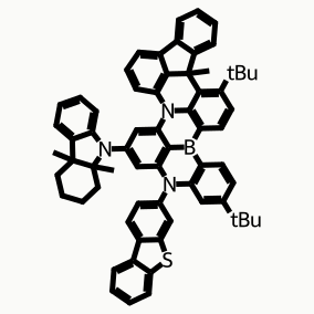 CC(C)(C)c1ccc2c(c1)N(c1ccc3c(c1)sc1ccccc13)c1cc(N3c4ccccc4C4(C)CCCCC34C)cc3c1B2c1ccc(C(C)(C)C)c2c1N3c1cccc3c1C2(C)c1ccccc1-3